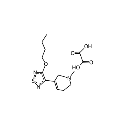 CCCCOc1nsnc1C1=CCCN(C)C1.O=C(O)C(=O)O